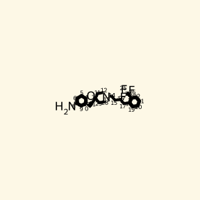 C#CC1(Oc2ccc(N)cc2)CCN(CCCCc2ccccc2C(F)(F)F)CC1